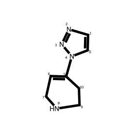 [c]1cnnn1C1=CCNCC1